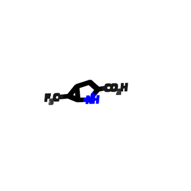 O=C(O)C1CC2C(N1)C2C(F)(F)F